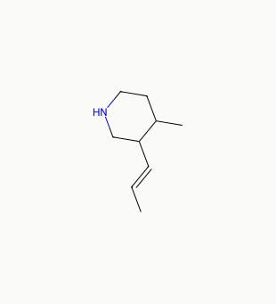 C/C=C/C1CNCCC1C